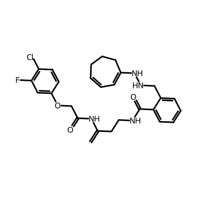 C=C(CCNC(=O)c1ccccc1CNNC1=CC=CCCC1)NC(=O)COc1ccc(Cl)c(F)c1